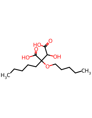 CCCCCOC(CCCCC)(C(=O)O)C(O)C(=O)O